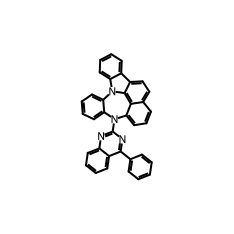 c1ccc(-c2nc(-n3c4cccc5ccc6c7ccccc7n(c7ccccc73)c6c54)nc3ccccc23)cc1